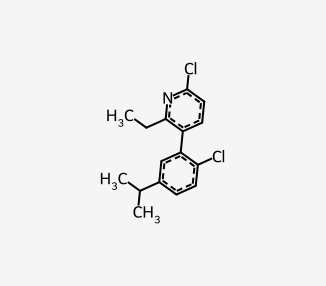 CCc1nc(Cl)ccc1-c1cc(C(C)C)ccc1Cl